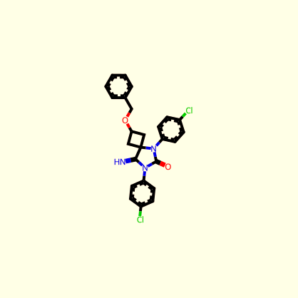 N=C1N(c2ccc(Cl)cc2)C(=O)N(c2ccc(Cl)cc2)C12CC(OCc1ccccc1)C2